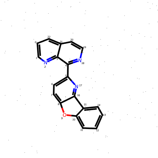 c1cnc2c(-c3ccc4oc5ccccc5c4n3)nccc2c1